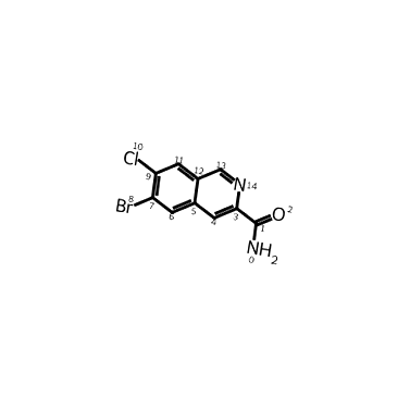 NC(=O)c1cc2cc(Br)c(Cl)cc2cn1